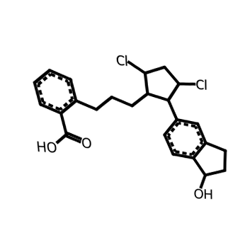 O=C(O)c1ccccc1CCCC1C(Cl)CC(Cl)C1c1ccc2c(c1)CCC2O